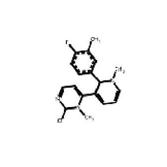 Cc1cc(C2C(C3=CC=NC(Cl)N3C)=CC=CN2C)ccc1F